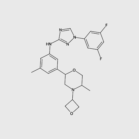 Cc1cc(Nc2ncn(-c3cc(F)cc(F)c3)n2)cc(C2CN(C3COC3)C(C)CO2)c1